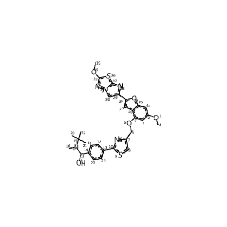 COc1cc(OCc2csc(-c3ccc(C(O)N(C)C(C)(C)C)cc3)n2)c2cc(-c3cn4nc(OC)sc4n3)oc2c1